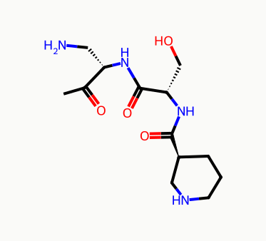 CC(=O)[C@H](CN)NC(=O)[C@H](CO)NC(=O)[C@H]1CCCNC1